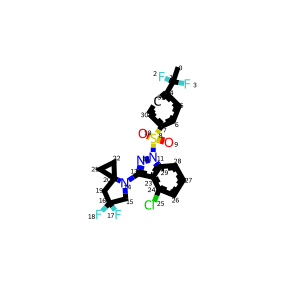 CC(F)(F)c1ccc(S(=O)(=O)n2nc(N3CC(F)(F)CC34CC4)c3c(Cl)cccc32)cc1